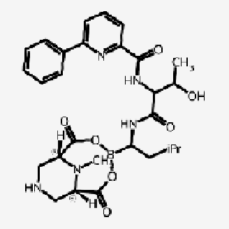 CC(C)CC(NC(=O)C(NC(=O)c1cccc(-c2ccccc2)n1)C(C)O)B1OC(=O)[C@H]2CNC[C@@H](C(=O)O1)N2C